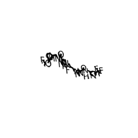 CC(F)Oc1cccc(CNC(=O)c2cn(CC(F)CCn3cc(C(=O)NCc4cncc(C(F)(F)F)c4)nn3)nn2)c1